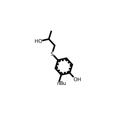 CCCCc1cc(SCC(C)O)ccc1O